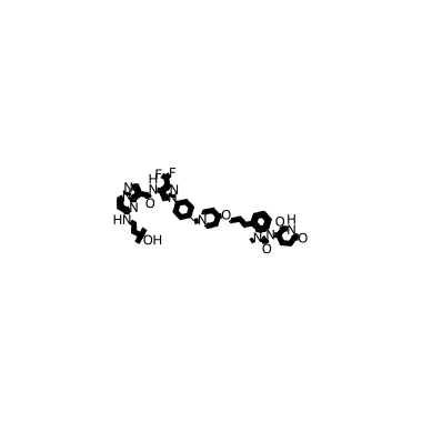 Cn1c(=O)n(C2CCC(=O)NC2=O)c2cccc(CCCOC3CCN(C[C@H]4CC[C@H](n5cc(NC(=O)c6cnn7ccc(NCCC(C)(C)O)nc67)c(C(F)F)n5)CC4)CC3)c21